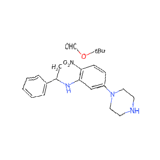 CC(C)(C)OC=O.CC(Nc1cc(N2CCNCC2)ccc1[N+](=O)[O-])c1ccccc1